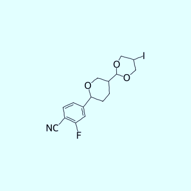 N#Cc1ccc(C2CCC(C3OCC(I)CO3)CO2)cc1F